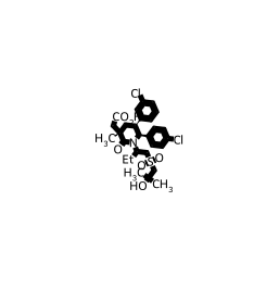 CCC(CS(=O)(=O)CC(C)(C)O)N1C(=O)[C@@](C)(CC(=O)O)C[C@H](c2cccc(Cl)c2)[C@H]1c1ccc(Cl)cc1